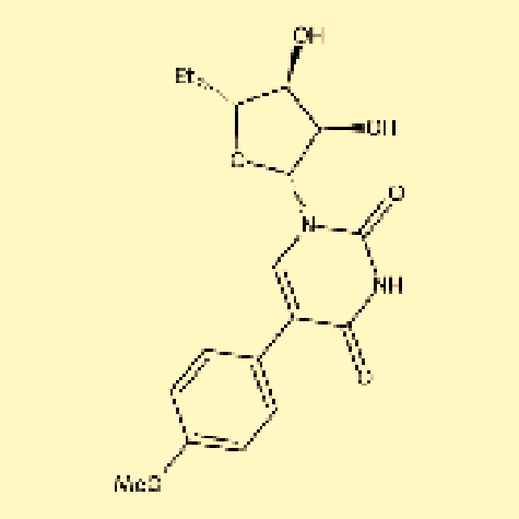 CC[C@H]1O[C@@H](n2cc(-c3ccc(OC)cc3)c(=O)[nH]c2=O)[C@H](O)[C@@H]1O